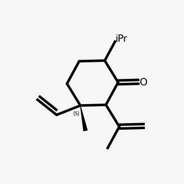 C=C[C@]1(C)CCC(C(C)C)C(=O)C1C(=C)C